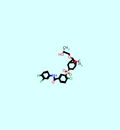 C[C@@H](O)COC[C@@]1(O)C2CC(S(=O)(=O)c3cc(C(=O)Nc4ccc(F)c(F)c4)ccc3Cl)CC1[C@@H](C)C2